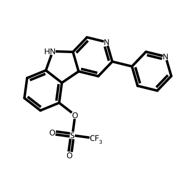 O=S(=O)(Oc1cccc2[nH]c3cnc(-c4cccnc4)cc3c12)C(F)(F)F